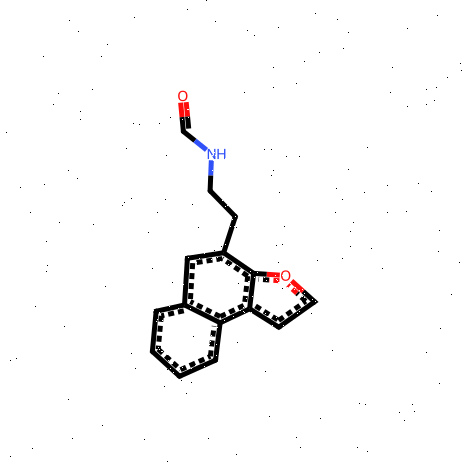 O=CNCCc1cc2ccccc2c2ccoc12